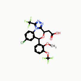 COc1c(OC(F)(F)F)cccc1C1OC(CC(=O)O)c2nnc(C(F)(F)F)n2-c2ccc(Cl)cc21